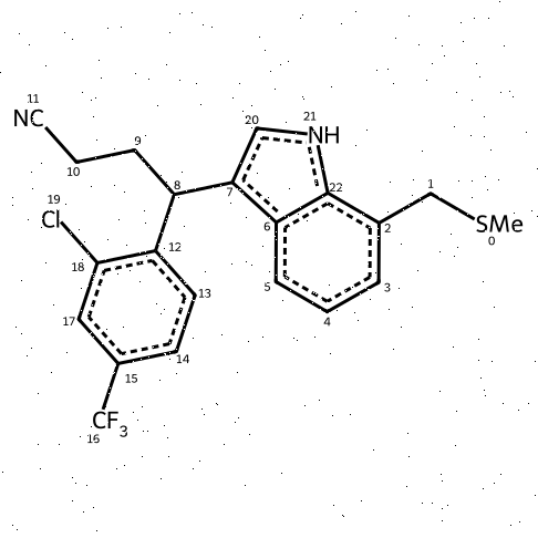 CSCc1cccc2c(C(CCC#N)c3ccc(C(F)(F)F)cc3Cl)c[nH]c12